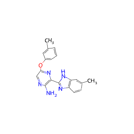 Cc1cccc(Oc2cnc(N)c(-c3nc4ccc(C)cc4[nH]3)n2)c1